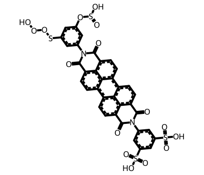 O=C1c2ccc3c4ccc5c6c(ccc(c7ccc(c2c37)C(=O)N1c1cc(OS(=O)O)cc(SOOO)c1)c64)C(=O)N(c1cc(S(=O)(=O)O)cc(S(=O)(=O)O)c1)C5=O